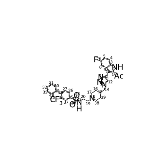 CC(=O)c1[nH]c2ccc(F)cc2c1-c1cn(CC2CCN(CCNS(=O)(=O)c3ccc(-c4ccccc4C(F)(F)F)cc3)CC2)nn1